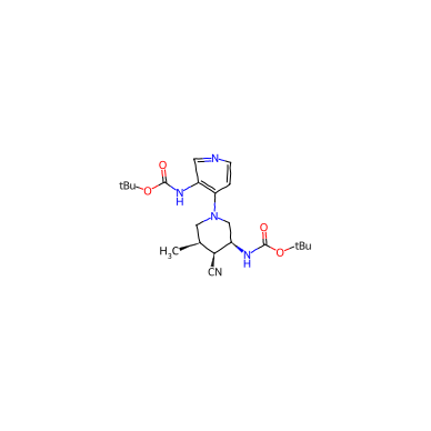 C[C@H]1CN(c2ccncc2NC(=O)OC(C)(C)C)C[C@@H](NC(=O)OC(C)(C)C)[C@H]1C#N